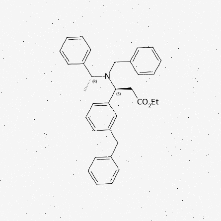 CCOC(=O)C[C@@H](c1cccc(Cc2ccccc2)c1)N(Cc1ccccc1)[C@H](C)c1ccccc1